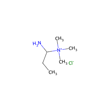 CCC(N)[N+](C)(C)C.[Cl-]